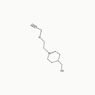 C#CCOCCN1CCC(CO)CC1